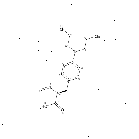 C=N[C@@H](Cc1ccc(N(CCCl)CCCl)cc1)C(=O)O